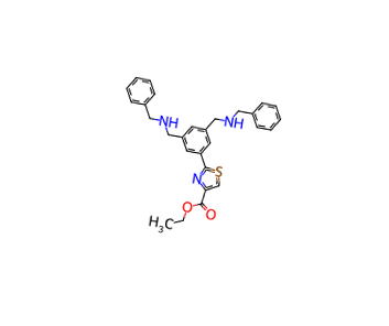 CCOC(=O)c1csc(-c2cc(CNCc3ccccc3)cc(CNCc3ccccc3)c2)n1